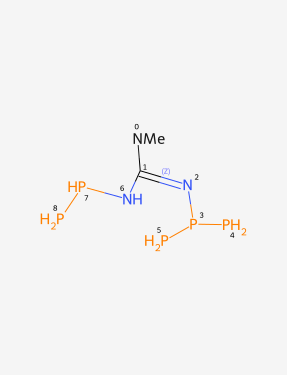 CN/C(=N/P(P)P)NPP